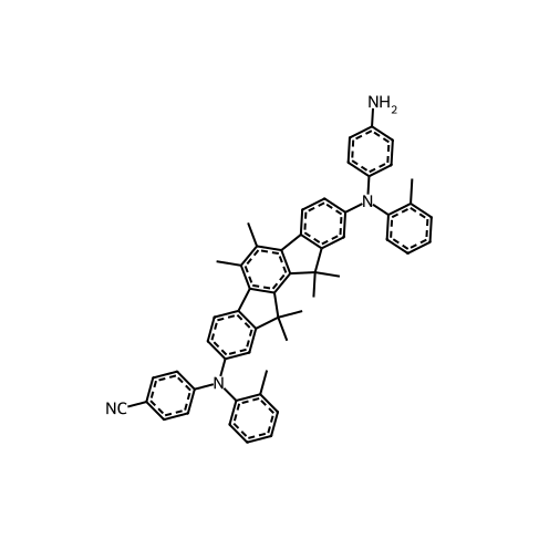 Cc1ccccc1N(c1ccc(N)cc1)c1ccc2c(c1)C(C)(C)c1c-2c(C)c(C)c2c1C(C)(C)c1cc(N(c3ccc(C#N)cc3)c3ccccc3C)ccc1-2